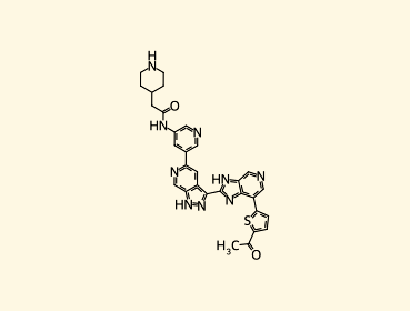 CC(=O)c1ccc(-c2cncc3[nH]c(-c4n[nH]c5cnc(-c6cncc(NC(=O)CC7CCNCC7)c6)cc45)nc23)s1